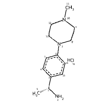 C[C@@H](N)c1ccc(N2CCN(C)CC2)cc1.Cl